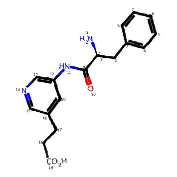 N[C@@H](Cc1ccccc1)C(=O)Nc1cncc(CCC(=O)O)c1